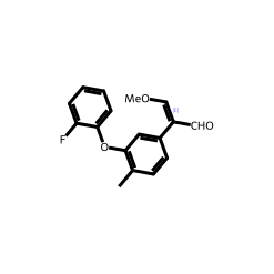 CO/C=C(/C=O)c1ccc(C)c(Oc2ccccc2F)c1